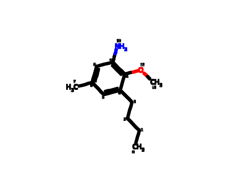 CCCCc1cc(C)cc(N)c1OC